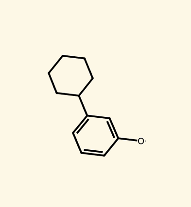 [O]c1cccc(C2CCCCC2)c1